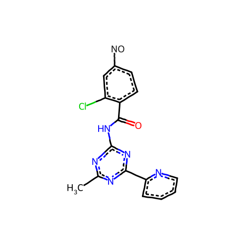 Cc1nc(NC(=O)c2ccc(N=O)cc2Cl)nc(-c2ccccn2)n1